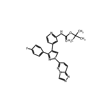 CC(C)(C)OC(=O)Nc1cc(-c2cn(-c3ccc4nncn4n3)nc2-c2ccc(F)cc2)ccn1